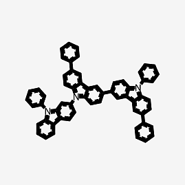 c1ccc(-c2ccc3c(c2)c2cc(-c4ccc5c(c4)c4cc(-c6ccccc6)ccc4n5-c4ccc5c6ccccc6n(-c6ccccc6)c5c4)ccc2n3-c2ccccc2)cc1